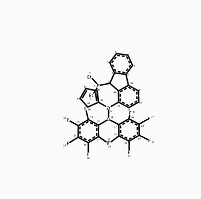 CCP(CC)C1c2ccccc2-c2ccc[c]([Zr]([B](c3c(F)c(F)c(F)c(F)c3F)c3c(F)c(F)c(F)c(F)c3F)[C]3=CC=CC3)c21